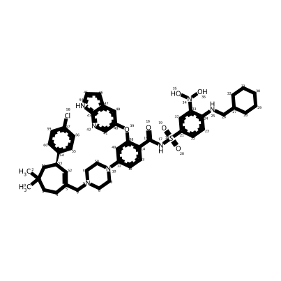 CC1(C)CCC(CN2CCN(c3ccc(C(=O)NS(=O)(=O)c4ccc(NCC5CCCCC5)c(N(O)O)c4)c(Oc4cnc5[nH]ccc5c4)c3)CC2)=C[C@H](c2ccc(Cl)cc2)C1